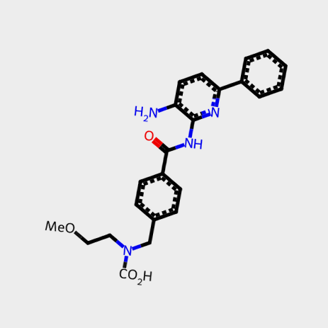 COCCN(Cc1ccc(C(=O)Nc2nc(-c3ccccc3)ccc2N)cc1)C(=O)O